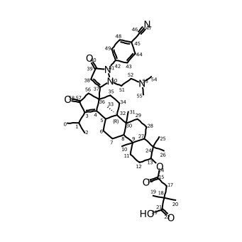 CC(C)C1=C2C3CCC4C5(C)CCC(OC(=O)CC(C)(C)C(=O)O)C(C)(C)C5CCC4(C)[C@]3(C)CCC2(c2cc(=O)n(-c3ccc(C#N)cc3)n2CCN(C)C)CC1=O